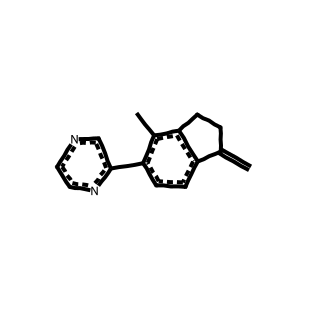 C=C1CCc2c1ccc(-c1cnccn1)c2C